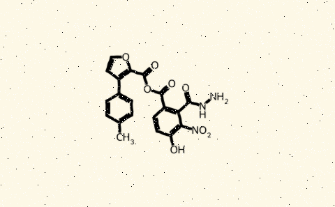 Cc1ccc(-c2ccoc2C(=O)OC(=O)c2ccc(O)c([N+](=O)[O-])c2C(=O)NN)cc1